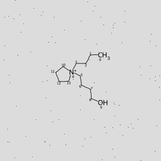 CCCC[N+]1(CCCCO)CCCC1